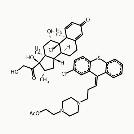 CC(=O)OCCN1CCN(CC/C=C2/c3ccccc3Sc3ccc(Cl)cc32)CC1.C[C@H]1C[C@H]2[C@@H]3CCC4=CC(=O)C=C[C@]4(C)[C@@]3(Cl)[C@@H](O)C[C@]2(C)[C@@]1(O)C(=O)CO